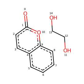 O=c1ccc2ccccc2o1.OCCO